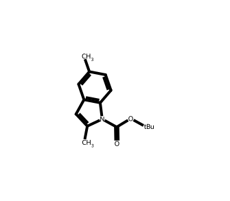 Cc1ccc2c(c1)cc(C)n2C(=O)OC(C)(C)C